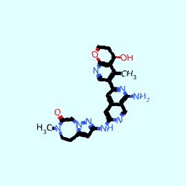 Cc1c(-c2cc3cc(Nc4cc5n(n4)CC(=O)N(C)CC5)ncc3c(N)n2)cnc2c1[C@H](O)CCO2